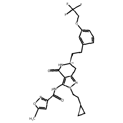 Cc1cc(C(=O)Nc2c3c(nn2CCC2CC2)C[C@H](CCc2cccc(OCC(F)(F)F)c2)NC3=O)no1